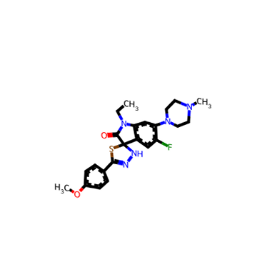 CCN1C(=O)C2(NN=C(c3ccc(OC)cc3)S2)c2cc(F)c(N3CCN(C)CC3)cc21